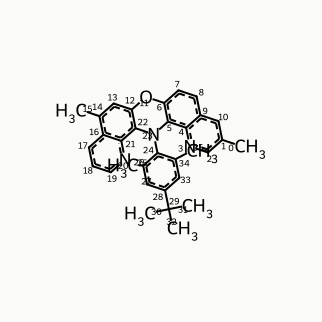 Cc1cnc2c3c(ccc2c1)Oc1cc(C)c2cccnc2c1N3c1c(C)cc(C(C)(C)C)cc1C